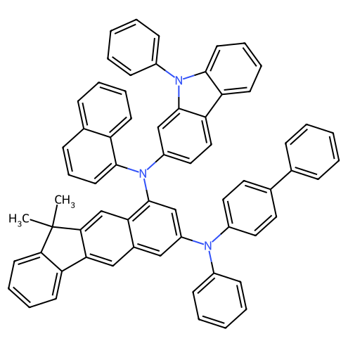 CC1(C)c2ccccc2-c2cc3cc(N(c4ccccc4)c4ccc(-c5ccccc5)cc4)cc(N(c4ccc5c6ccccc6n(-c6ccccc6)c5c4)c4cccc5ccccc45)c3cc21